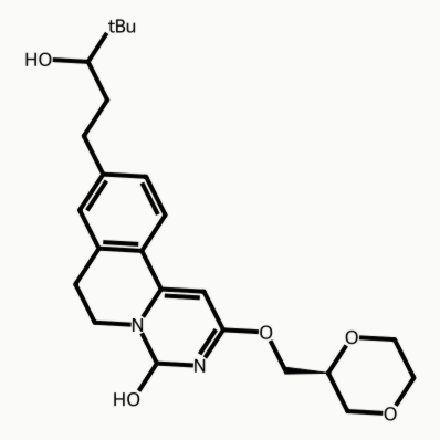 CC(C)(C)C(O)CCc1ccc2c(c1)CCN1C2=CC(OC[C@@H]2COCCO2)=NC1O